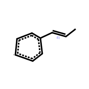 C/C=C/c1cc[c]cc1